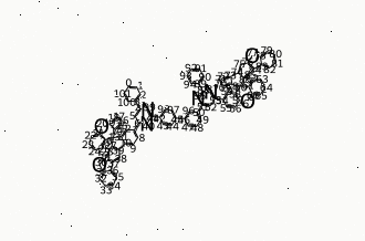 c1ccc(-c2cc(-c3ccc4c(c3)C3(c5ccccc5Oc5ccccc53)c3cc5oc6ccccc6c5cc3-4)nc(-c3ccc(-c4cccc(-c5cc(-c6ccc7c(c6)C6(c8ccccc8O7)c7ccccc7-c7cc8oc9ccccc9c8cc76)nc(-c6ccccc6)n5)c4)cc3)n2)cc1